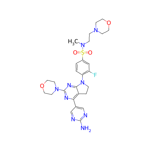 CN(CCN1CCOCC1)S(=O)(=O)c1ccc(N2CCc3c(-c4cnc(N)nc4)nc(N4CCOCC4)nc32)c(F)c1